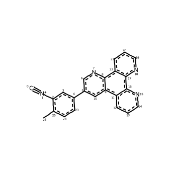 [C-]#[N+]c1cc(-c2cnc3c(c2)c2cccnc2c2ncccc32)ccc1C